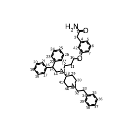 NC(=O)Cc1cccc(OCCCN(CC(c2ccccc2)c2ccccc2)C2CCN(CCc3ccccc3)CC2)c1